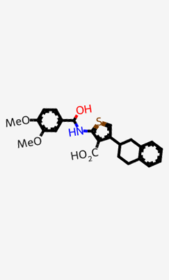 COc1ccc(C(O)Nc2scc(C3CCc4ccccc4C3)c2C(=O)O)cc1OC